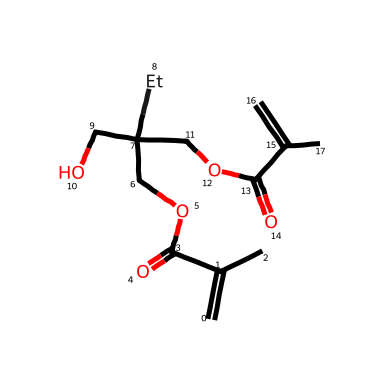 C=C(C)C(=O)OCC(CC)(CO)COC(=O)C(=C)C